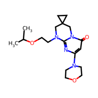 CC(C)OCCN1CC2(CC2)Cn2c1nc(N1CCOCC1)cc2=O